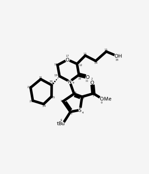 COC(=O)c1sc(C(C)(C)C)cc1N1C(=O)C(CCCO)OC[C@H]1C1CCCCC1